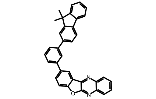 CC1(C)c2ccccc2-c2ccc(-c3cccc(-c4ccc5oc6nc7ccccc7nc6c5c4)c3)cc21